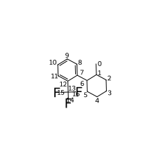 CC1CCCCC1c1ccccc1C(F)(F)F